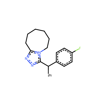 CC(C)C(c1ccc(F)cc1)c1nnc2n1CCCCCC2